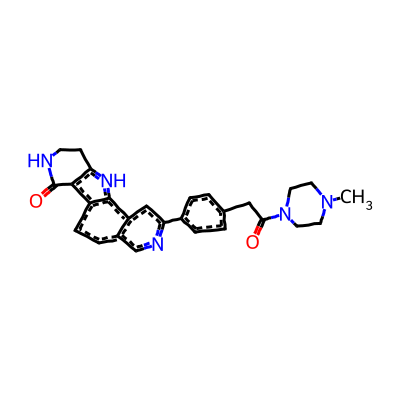 CN1CCN(C(=O)Cc2ccc(-c3cc4c(ccc5c6c([nH]c54)CCNC6=O)cn3)cc2)CC1